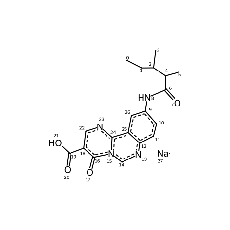 CCC(C)C(C)C(=O)Nc1ccc2ncn3c(=O)c(C(=O)O)cnc3c2c1.[Na]